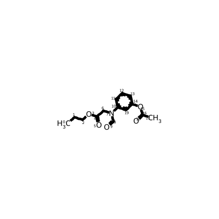 CCCOC(=O)CN(C=O)c1cccc(OC(C)=O)c1